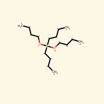 CCCCO[Si](CCCC)(CCCC)OCCCC